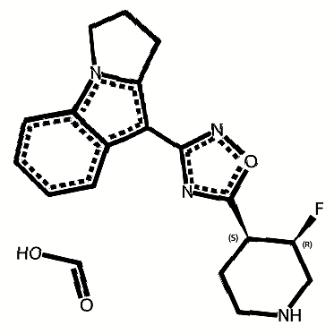 F[C@H]1CNCC[C@H]1c1nc(-c2c3n(c4ccccc24)CCC3)no1.O=CO